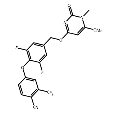 COc1cc(OCc2cc(F)c(Oc3ccc(C#N)c(C(F)(F)F)c3)c(F)c2)nc(=O)n1C